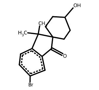 CC1(C)c2ccc(Br)cc2C(=O)C12CCC(O)CC2